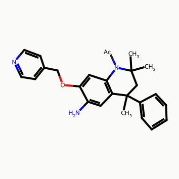 CC(=O)N1c2cc(OCc3ccncc3)c(N)cc2C(C)(c2ccccc2)CC1(C)C